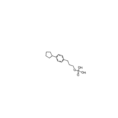 O=P(O)(O)OCCCc1ccc(C2CCCC2)cc1